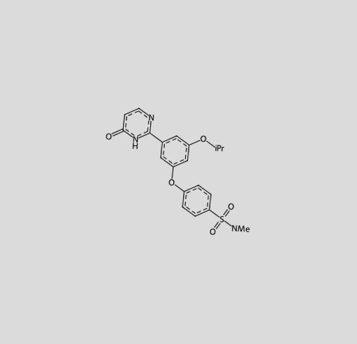 CNS(=O)(=O)c1ccc(Oc2cc(OC(C)C)cc(-c3nccc(=O)[nH]3)c2)cc1